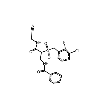 N#CCNC(=O)C(CNC(=O)c1ccccc1)S(=O)(=O)Cc1cccc(Cl)c1F